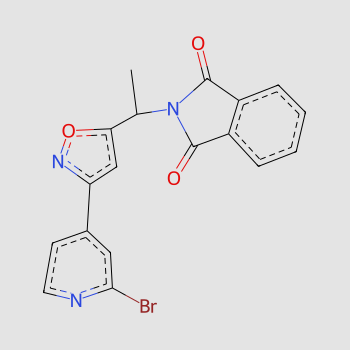 CC(c1cc(-c2ccnc(Br)c2)no1)N1C(=O)c2ccccc2C1=O